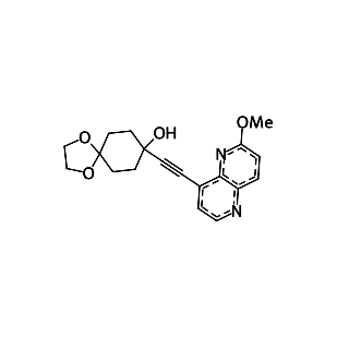 COc1ccc2nccc(C#CC3(O)CCC4(CC3)OCCO4)c2n1